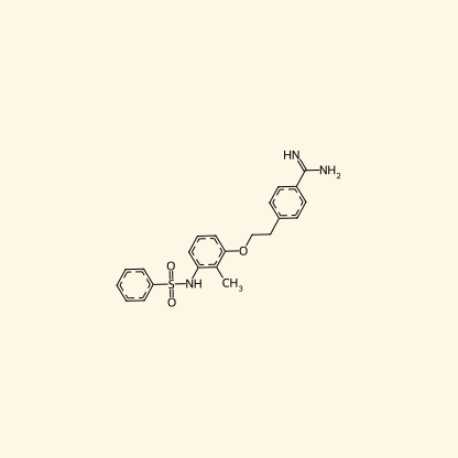 Cc1c(NS(=O)(=O)c2ccccc2)cccc1OCCc1ccc(C(=N)N)cc1